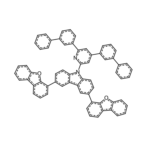 c1ccc(-c2cccc(-c3cc(-c4cccc(-c5ccccc5)c4)nc(-n4c5ccc(-c6cccc7c6oc6ccccc67)cc5c5cc(-c6cccc7c6oc6ccccc67)ccc54)c3)c2)cc1